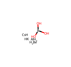 OB(O)O.[AlH3].[BeH2].[CsH].[KH]